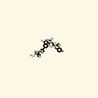 CN(C)C1(Cn2cc(-c3ccc4c(c3)[C@H](F)C[C@]43NC(=O)N(CC(=O)N(Cc4ccc(F)cc4)C4(C(F)(F)F)COC4)C3=O)cn2)COC1